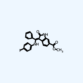 COC(=O)c1ccc2c(c1)NC(=O)C2=C(Nc1ccc(I)cc1)c1ccccc1